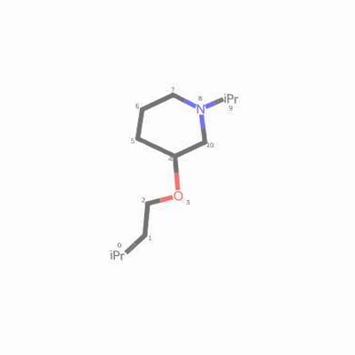 CC(C)CCOC1CCCN(C(C)C)C1